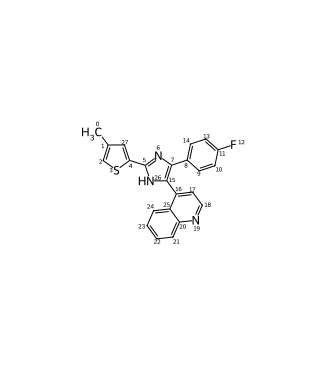 Cc1csc(-c2nc(-c3ccc(F)cc3)c(-c3ccnc4ccccc34)[nH]2)c1